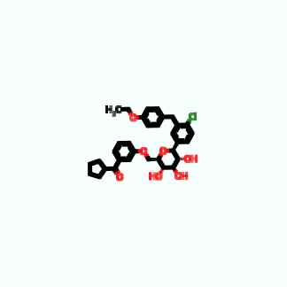 CCOc1ccc(Cc2cc([C@@H]3O[C@H](COc4cccc(C(=O)C5CCCC5)c4)[C@@H](O)[C@H](O)[C@H]3O)ccc2Cl)cc1